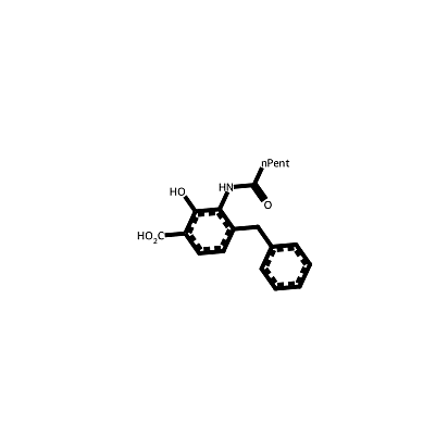 CCCCCC(=O)Nc1c(Cc2ccccc2)ccc(C(=O)O)c1O